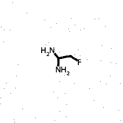 NC(N)CF